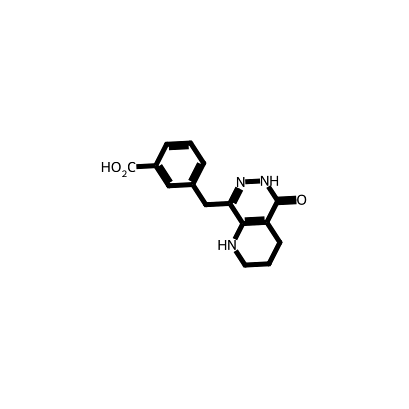 O=C(O)c1cccc(Cc2n[nH]c(=O)c3c2NCCC3)c1